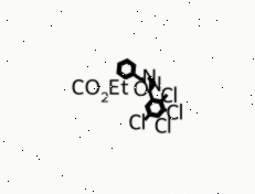 CCOC(=O)c1ccccc1-c1nnc(-c2cc(Cl)c(Cl)c(Cl)c2Cl)o1